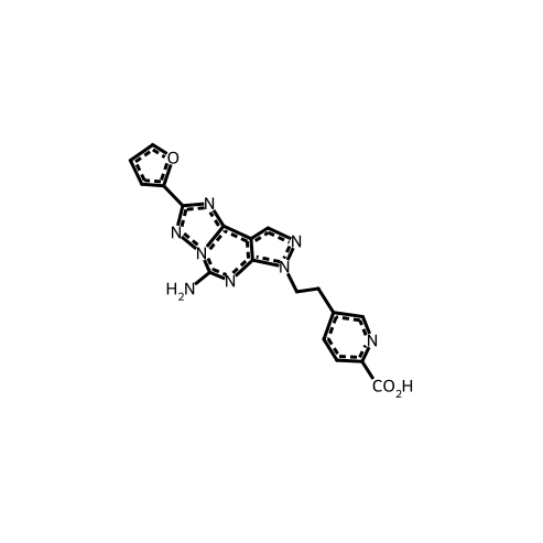 Nc1nc2c(cnn2CCc2ccc(C(=O)O)nc2)c2nc(-c3ccco3)nn12